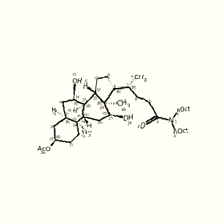 CCCCCCCCN(CCCCCCCC)C(=O)CC[C@@H](C)[C@H]1CC[C@H]2[C@@H]3[C@H](O)C[C@@H]4C[C@H](OC(C)=O)CC[C@]4(C)[C@H]3C[C@H](O)[C@]12C